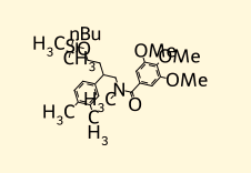 CCCC[Si](C)(C)OCCC(CN(C)C(=O)c1cc(OC)c(OC)c(OC)c1)c1ccc(C)c(C)c1